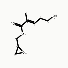 CC(=CCCO)C(=O)OCC1CO1